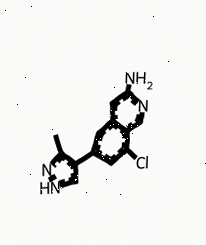 Cc1n[nH]cc1-c1cc(Cl)c2cnc(N)cc2c1